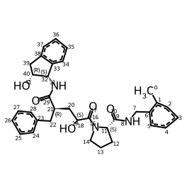 Cc1ccccc1CNC(=O)[C@@H]1CCCN1C(=O)[C@@H](O)C[C@@H](Cc1ccccc1)C(=O)N[C@H]1c2ccccc2C[C@H]1O